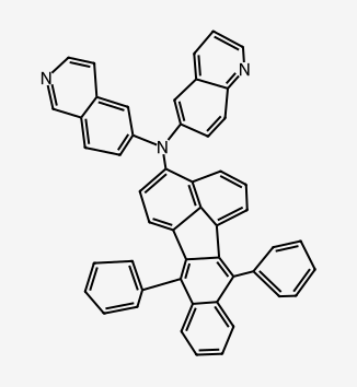 c1ccc(-c2c3c(c(-c4ccccc4)c4ccccc24)-c2ccc(N(c4ccc5cnccc5c4)c4ccc5ncccc5c4)c4cccc-3c24)cc1